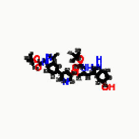 Cc1nn(C(=O)OC(C)(C)C)c2ccc(-c3cncc(OCC(Cc4c[nH]c5ccc(O)cc45)NC(=O)OC(C)(C)C)c3)cc12